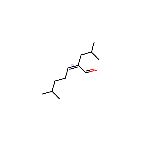 CC(C)CC/C=C(\C=O)CC(C)C